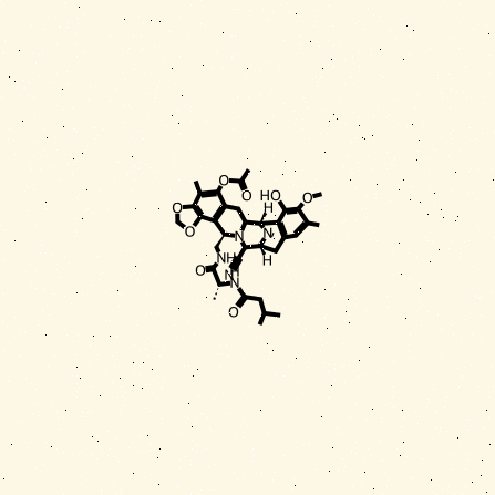 COc1c(C)cc2c(c1O)[C@H]1C3Cc4c(OC(C)=O)c(C)c5c(c4[C@H](CNC(=O)[C@@H](C)NC(=O)CC(C)C)N3C(C#N)[C@@H](C2)N1C)OCO5